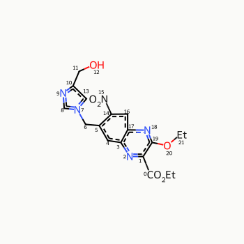 CCOC(=O)c1nc2cc(Cn3cnc(CO)c3)c([N+](=O)[O-])cc2nc1OCC